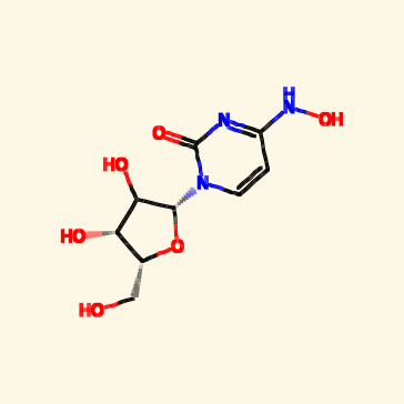 O=c1nc(NO)ccn1[C@@H]1O[C@H](CO)[C@H](O)C1O